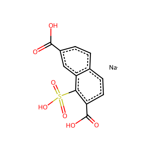 O=C(O)c1ccc2ccc(C(=O)O)c(S(=O)(=O)O)c2c1.[Na]